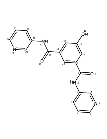 O=C(Nc1cccnc1)c1cc(O)cc(C(=O)Nc2cccnc2)c1